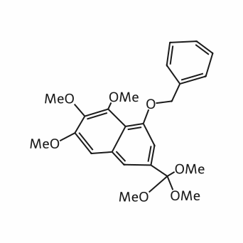 COc1cc2cc(C(OC)(OC)OC)cc(OCc3ccccc3)c2c(OC)c1OC